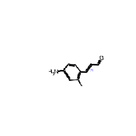 Cc1cc(N)ccc1/C=C/C=O